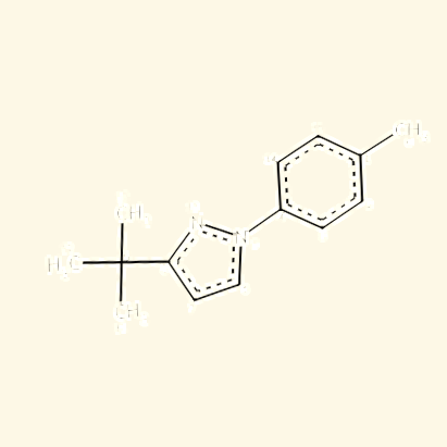 Cc1ccc(-n2ccc(C(C)(C)C)n2)cc1